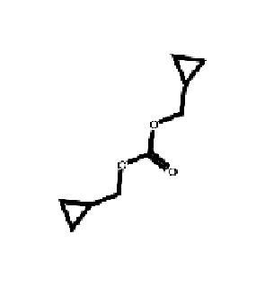 O=C(OCC1CC1)OCC1CC1